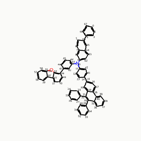 c1ccc(-c2ccc3cc(N(c4ccc(-c5ccc6c(c5)c(-c5ccccc5)c(-c5ccccc5)c5ccccc56)cc4)c4cccc(-c5cccc6c5oc5ccccc56)c4)ccc3c2)cc1